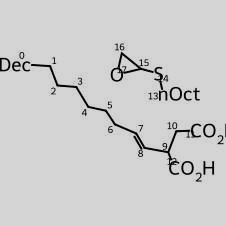 CCCCCCCCCCCCCCCCC=CC(CC(=O)O)C(=O)O.CCCCCCCCSC1CO1